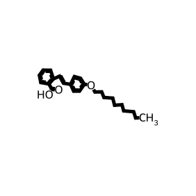 CCCCCCCCCCOc1ccc(C=Cc2ccccc2C(=O)O)cc1